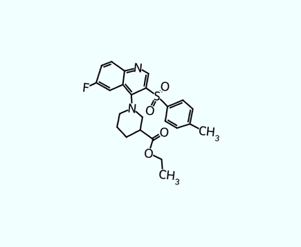 CCOC(=O)C1CCCN(c2c(S(=O)(=O)c3ccc(C)cc3)cnc3ccc(F)cc23)C1